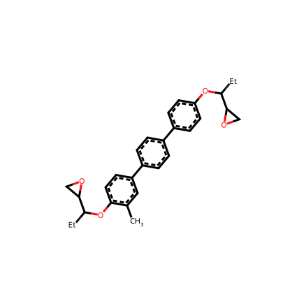 CCC(Oc1ccc(-c2ccc(-c3ccc(OC(CC)C4CO4)c(C)c3)cc2)cc1)C1CO1